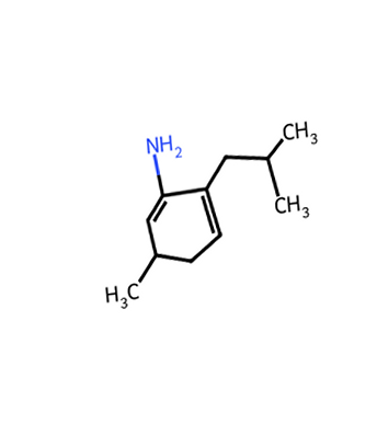 CC(C)CC1=CCC(C)C=C1N